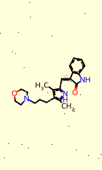 Cc1[nH]c(/C=C2\C(=O)Nc3ccccc32)c(C)c1CCCN1CCOCC1